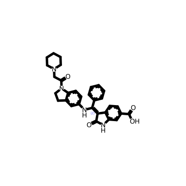 O=C1Nc2cc(C(=O)O)ccc2/C1=C(/Nc1ccc2c(c1)CCN2C(=O)CN1CCCCC1)c1ccccc1